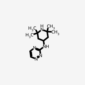 CC1(C)CC(Nc2nccnn2)CC(C)(C)N1